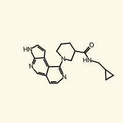 O=C(NCC1CC1)C1CCCN(c2nccc3cnc4[nH]ccc4c23)C1